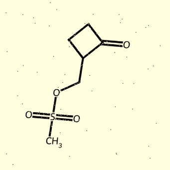 CS(=O)(=O)OCC1CCC1=O